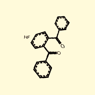 F.O=C(c1ccccc1)c1ccccc1C(=O)c1ccccc1